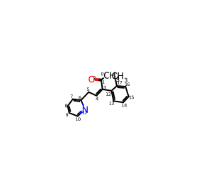 CC(=O)/C(=C\Cc1ccccn1)c1ccccc1C